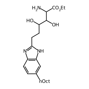 CCCCCCCCc1ccc2nc(CCC(O)C(O)C(N)C(=O)OCC)[nH]c2c1